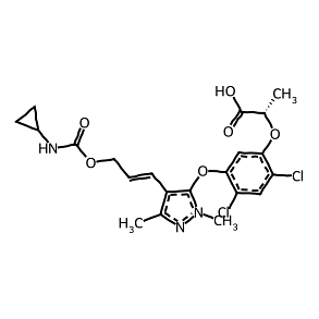 Cc1nn(C)c(Oc2cc(O[C@@H](C)C(=O)O)c(Cl)cc2Cl)c1/C=C/COC(=O)NC1CC1